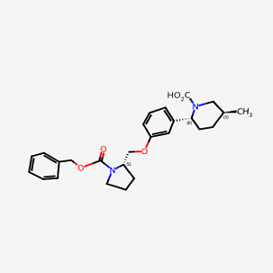 C[C@H]1CC[C@H](c2cccc(OC[C@@H]3CCCN3C(=O)OCc3ccccc3)c2)N(C(=O)O)C1